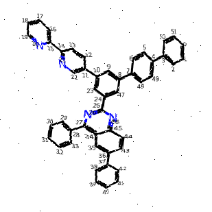 c1ccc(-c2ccc(-c3cc(-c4ccc(-c5ccccn5)nc4)cc(-c4nc(-c5ccccc5)c5cc(-c6ccccc6)ccc5n4)c3)cc2)cc1